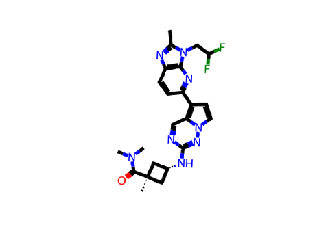 Cc1nc2ccc(-c3ccn4nc(N[C@H]5C[C@](C)(C(=O)N(C)C)C5)ncc34)nc2n1CC(F)F